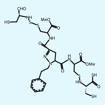 COC(=O)C(CSSN[C@H](C=O)CS)NC(=O)C1=NN(CCc2ccccc2)C(C(=O)NC(CSN[C@@H](CS)C(=O)S)C(=O)OC)C1